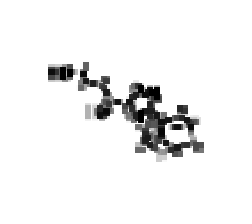 OCCCC(O)c1nc(C23CC4CC(CC(C4)C2)C3)no1